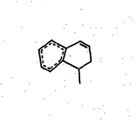 C[C]1CC=Cc2ccccc21